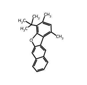 Cc1cc(C)c2c(oc3cc4ccccc4cc32)c1C(C)(C)C